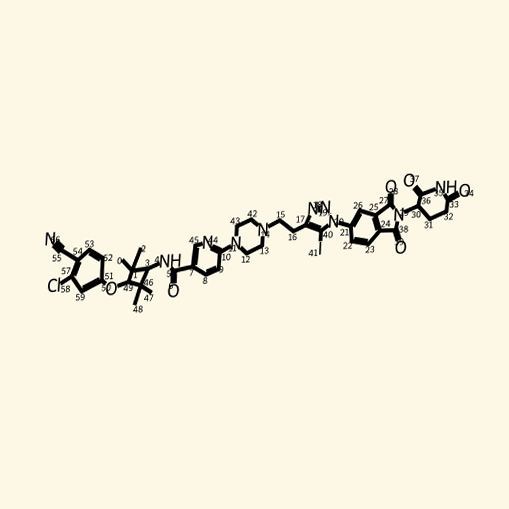 CC1(C)C(NC(=O)c2ccc(N3CCN(CCc4nnn(-c5ccc6c(c5)C(=O)N(C5CCC(=O)NC5=O)C6=O)c4I)CC3)nc2)C(C)(C)C1Oc1ccc(C#N)c(Cl)c1